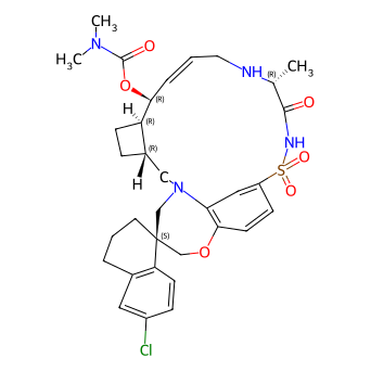 C[C@H]1NCC=C[C@H](OC(=O)N(C)C)[C@@H]2CC[C@H]2CN2C[C@@]3(CCCc4cc(Cl)ccc43)COc3ccc(cc32)S(=O)(=O)NC1=O